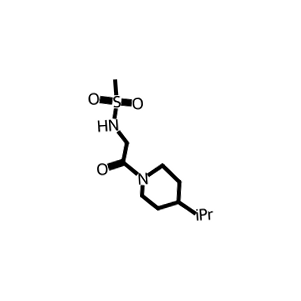 CC(C)C1CCN(C(=O)CNS(C)(=O)=O)CC1